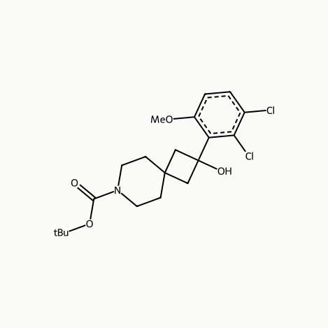 COc1ccc(Cl)c(Cl)c1C1(O)CC2(CCN(C(=O)OC(C)(C)C)CC2)C1